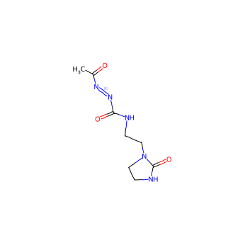 CC(=O)/N=N/C(=O)NCCN1CCNC1=O